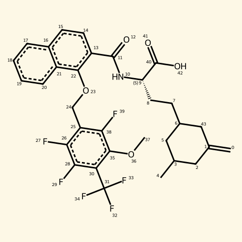 C=C1CC(C)CC(CC[C@H](NC(=O)c2ccc3ccccc3c2OCc2c(F)c(F)c(C(F)(F)F)c(OC)c2F)C(=O)O)C1